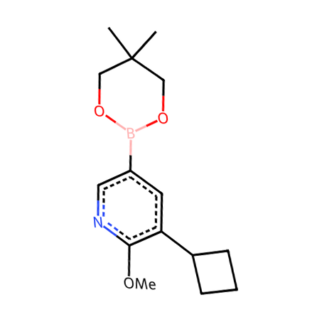 COc1ncc(B2OCC(C)(C)CO2)cc1C1CCC1